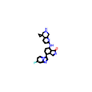 O=C1N=Cc2c(-c3cnc4cc(F)ccn34)ccc(Nc3ccc4c(n3)CNCC43CC3)c21